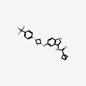 O=C(Nc1c[nH]c2ccc(O[C@H]3C[C@@H](c4ccc(C(F)(F)F)cc4)C3)cc12)C12CC(C1)C2